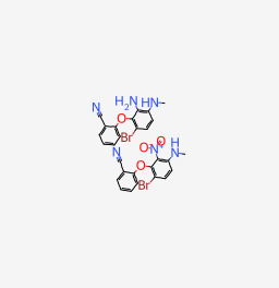 CNc1ccc(Br)c(Oc2ccccc2C#N)c1N.CNc1ccc(Br)c(Oc2ccccc2C#N)c1[N+](=O)[O-]